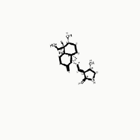 C=C1CC[C@H]2[C@](C)(CO)[C@H](O)CC[C@@]2(C)[C@@H]1C/C=C1/C(=O)OC[C@H]1O